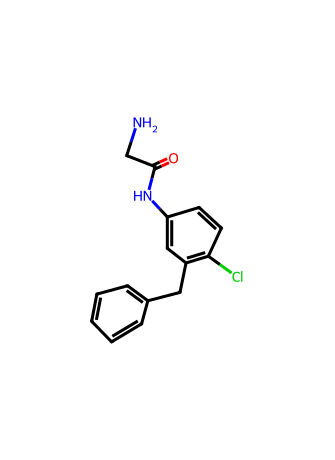 NCC(=O)Nc1ccc(Cl)c(Cc2ccccc2)c1